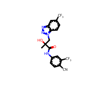 CC(O)(Cn1nnc2cc(C(F)(F)F)ccc21)C(=O)Nc1ccc(C#N)c(C(F)(F)F)c1